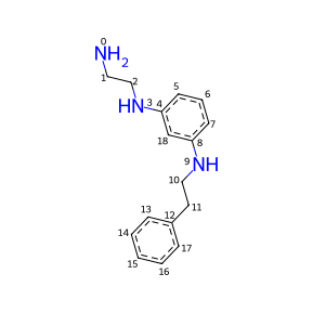 NCCNc1cccc(NCCc2ccccc2)c1